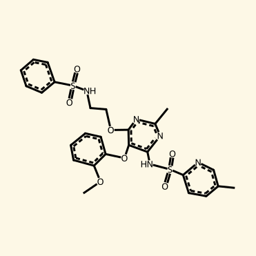 COc1ccccc1Oc1c(NS(=O)(=O)c2ccc(C)cn2)nc(C)nc1OCCNS(=O)(=O)c1ccccc1